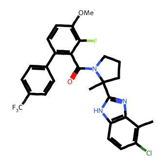 COc1ccc(-c2ccc(C(F)(F)F)cc2)c(C(=O)N2CCCC2(C)c2nc3c(C)c(Cl)ccc3[nH]2)c1F